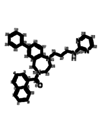 O=C(c1cccc2ccccc12)N1CCN(CCCNc2ncccn2)c2ccc(-c3ccccc3)cc2C1